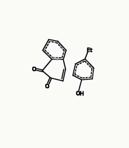 CCc1ccc(O)cc1.O=C1C=Cc2ccccc2C1=O